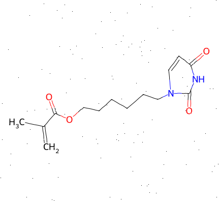 C=C(C)C(=O)OCCCCCCn1ccc(=O)[nH]c1=O